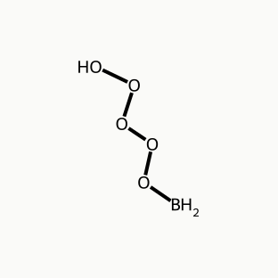 BOOOOO